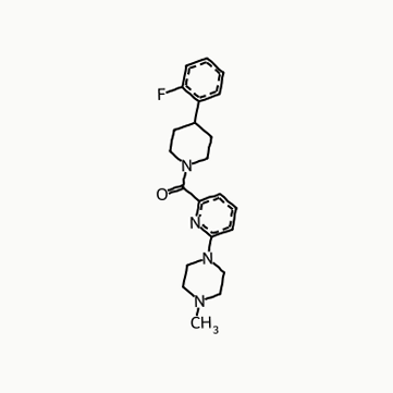 CN1CCN(c2cccc(C(=O)N3CCC(c4ccccc4F)CC3)n2)CC1